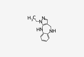 CCn1ncc2c1Nc1ccccc1NC2